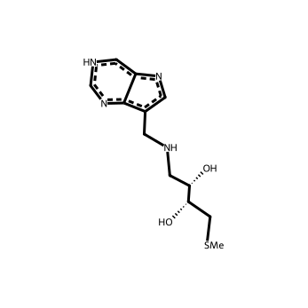 CSC[C@H](O)[C@@H](O)CNCc1cnc2c[nH]cnc1-2